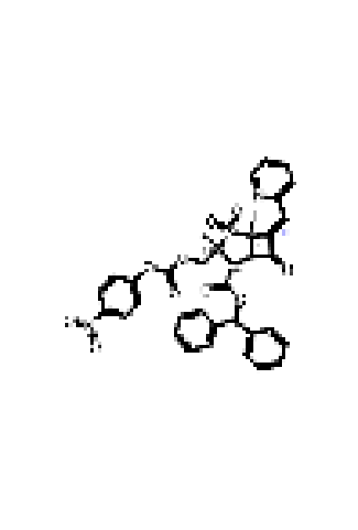 C[C@]1(COC(=O)Oc2ccc([N+](=O)[O-])cc2)[C@H](C(=O)OC(c2ccccc2)c2ccccc2)C2C(=O)/C(=C/c3ccccn3)[C@H]2S1(=O)=O